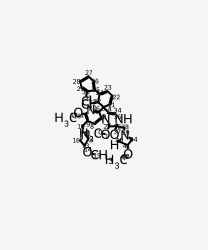 COC1=NC(C2(c3ccc(CN4CC(OC)C4)c(OC)n3)C=CC=C(c3ccccc3Cl)C2Cl)=CNC1(O)CN1CC(OC)C1